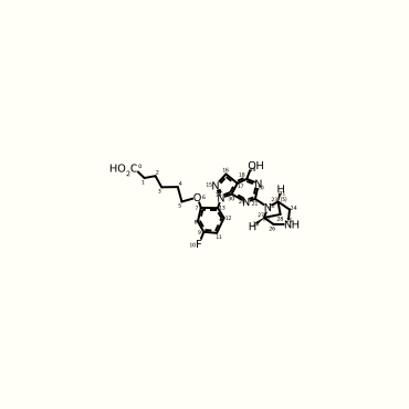 O=C(O)CCCCCOc1cc(F)ccc1-n1ncc2c(O)nc(N3[C@@H]4CNC[C@H]3C4)nc21